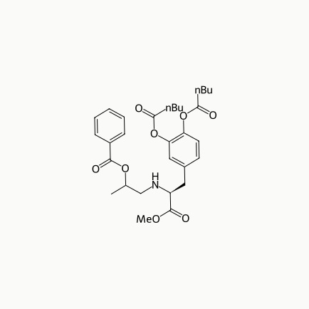 CCCCC(=O)Oc1ccc(C[C@H](NCC(C)OC(=O)c2ccccc2)C(=O)OC)cc1OC(=O)CCCC